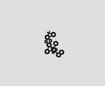 CC1(C)c2ccccc2-c2c1ccc1c2Oc2ccc(-c3ccccc3-c3nc(-c4ccccc4)nc(-c4cccc5ccccc45)n3)cc2O1